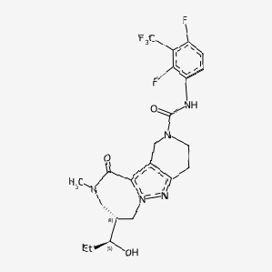 CC[C@H](O)[C@@H]1CN(C)C(=O)c2c3c(nn2C1)CCN(C(=O)Nc1ccc(F)c(C(F)(F)F)c1F)C3